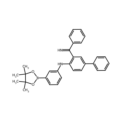 CC1(C)OB(c2cccc(Nc3ccc(-c4ccccc4)cc3C(=N)c3ccccc3)c2)OC1(C)C